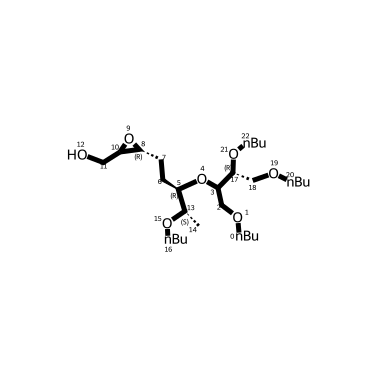 CCCCOCC(O[C@H](CC[C@H]1OC1CO)[C@H](C)OCCCC)[C@@H](COCCCC)OCCCC